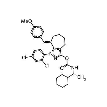 COc1ccc(/C=C2\CCCCc3c(OC(=O)N[C@H](C)C4CCCCC4)nn(-c4ccc(Cl)cc4Cl)c32)cc1